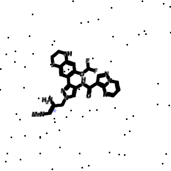 CN/C=C(\N)Cn1cc(NC(=O)c2cnn3cccnc23)c(-c2cc3c(cc2OC(F)F)NCCS3)n1